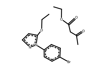 CCOC(=O)CC(C)=O.CCOc1ccnn1-c1ccc(Br)cc1